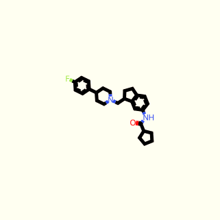 O=C(Nc1ccc2c(c1)C(CN1CCC(c3ccc(F)cc3)CC1)CC2)C1CCCC1